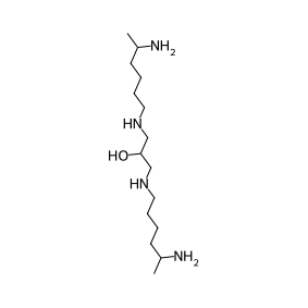 CC(N)CCCCNCC(O)CNCCCCC(C)N